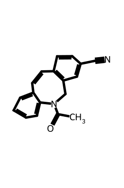 CC(=O)N1Cc2cc(C#N)ccc2/C=C\c2ccccc21